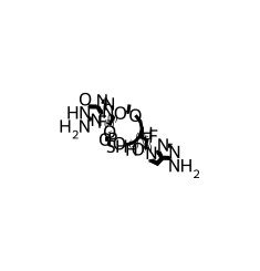 CC1OCC[C@H]2[C@H](F)[C@H](n3ccc4c(N)ncnc43)O[C@@H]2COP(=O)(S)O[C@H](F)[C@H](n2nnc3c(=O)[nH]c(N)nc32)O1